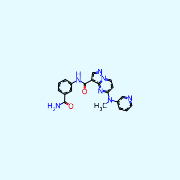 CN(c1cccnc1)c1ccn2ncc(C(=O)Nc3cccc(C(N)=O)c3)c2n1